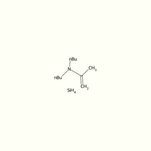 C=C(C)N(CCCC)CCCC.[SiH4]